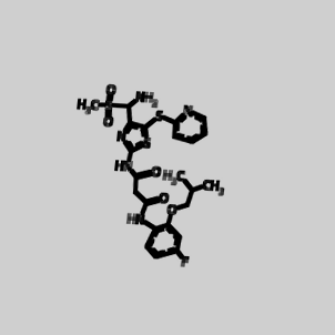 CC(C)COc1cc(F)ccc1NC(=O)CC(=O)Nc1nc(C(N)S(C)(=O)=O)c(Sc2ccccn2)s1